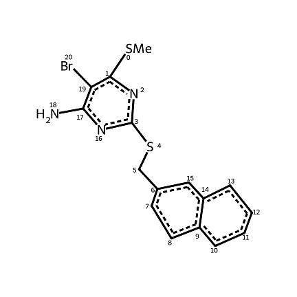 CSc1nc(SCc2ccc3ccccc3c2)nc(N)c1Br